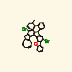 Cc1ccccc1-c1ccccc1C1c2cc(Br)c3c(c2-c2c1cc(Br)c1c2oc2ccccc21)C1=C(/C=C\CC#CC1)C3